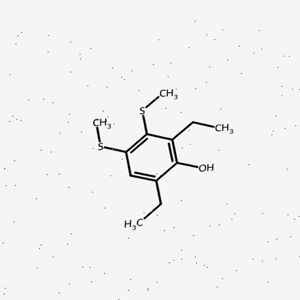 CCc1cc(SC)c(SC)c(CC)c1O